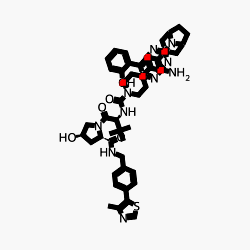 Cc1ncsc1-c1ccc(CNC(=O)[C@@H]2C[C@@H](O)CN2C(=O)[C@@H](NC(=O)N2CCC(c3cnc(N4C5CCC4CN(c4cc(-c6ccccc6O)nnc4N)C5)nc3)CC2)C(C)(C)C)cc1